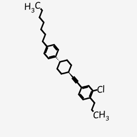 CCCCCCCc1ccc([C@H]2CC[C@H](C#Cc3ccc(CCC)c(Cl)c3)CC2)cc1